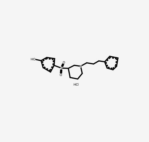 Cl.O=S(=O)(c1ccc(O)cc1)C1CCCN(CCCc2ccccc2)C1